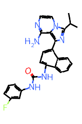 CC(C)c1nc(-c2ccc(NC(=O)Nc3cccc(F)c3)c3ccccc23)c2c(N)nccn12